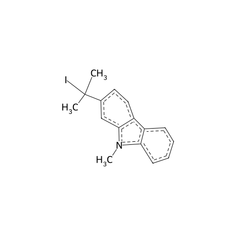 Cn1c2ccccc2c2ccc(C(C)(C)I)cc21